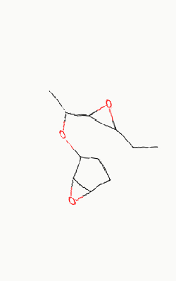 CCC1OC1C(C)OC1CCC2OC12